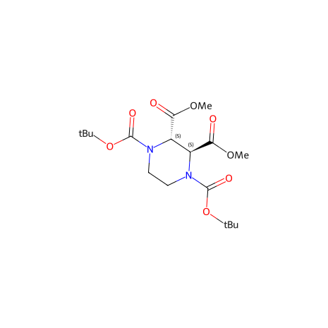 COC(=O)[C@@H]1[C@@H](C(=O)OC)N(C(=O)OC(C)(C)C)CCN1C(=O)OC(C)(C)C